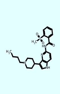 CCCCN1CCC(c2c[nH]c3ccc(NC(=O)c4ccccc4S(C)(=O)=O)nc23)CC1